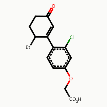 CCC1CCC(=O)C=C1c1ccc(OCC(=O)O)cc1Cl